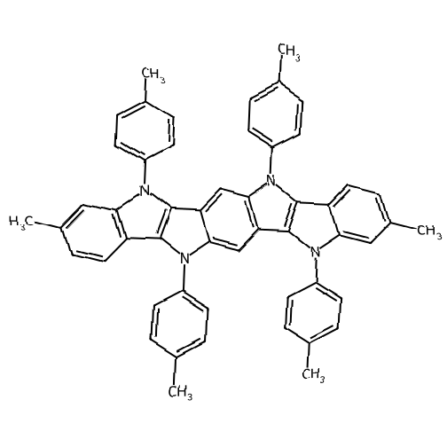 Cc1ccc(-n2c3cc(C)ccc3c3c2c2cc4c(cc2n3-c2ccc(C)cc2)c2c(c3ccc(C)cc3n2-c2ccc(C)cc2)n4-c2ccc(C)cc2)cc1